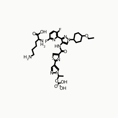 CCOC1CCC(n2cc(NC(=O)c3csc(-c4cnn(C(C)OP(=O)(O)O)c4)n3)c(-c3nc(F)ccc3F)n2)CC1.NCCCCC(N)C(=O)O